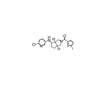 Cc1ccc(C(=O)N2C[C@@H]3CC[C@@H](Nc4ccc(Cl)nc4)[C@@H]3C2)s1